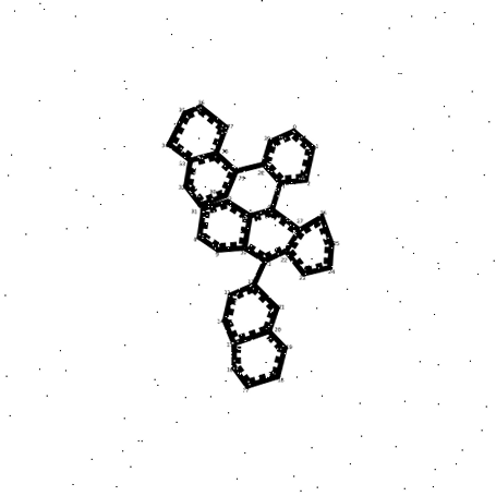 c1ccc(-c2c3ccccc3c(-c3ccc4ccccc4c3)c3ccccc23)c(-c2cccc3ccccc23)c1